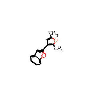 Cc1[c]c(-c2cc3ccccc3o2)c(C)o1